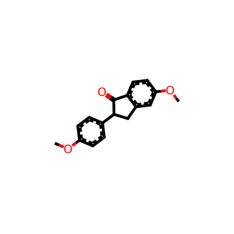 COc1ccc(C2Cc3cc(OC)ccc3C2=O)cc1